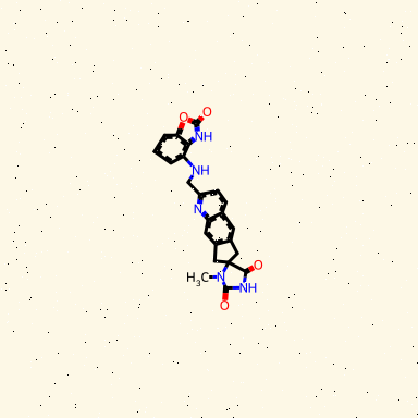 CN1C(=O)NC(=O)C12Cc1cc3ccc(CNc4cccc5oc(=O)[nH]c45)nc3cc1C2